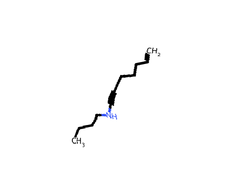 C=CCCCC#CNCCCC